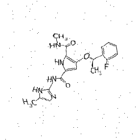 CNC(=O)c1[nH]c(C(=O)Nc2ncc(C)[nH]2)cc1O[C@H](C)c1ccccc1F